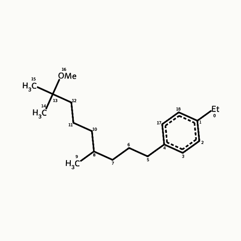 CCc1ccc(CCCC(C)CCCC(C)(C)OC)cc1